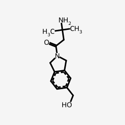 CC(C)(N)CC(=O)N1Cc2ccc(CO)cc2C1